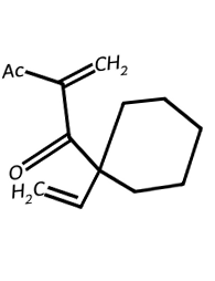 C=CC1(C(=O)C(=C)C(C)=O)CCCCC1